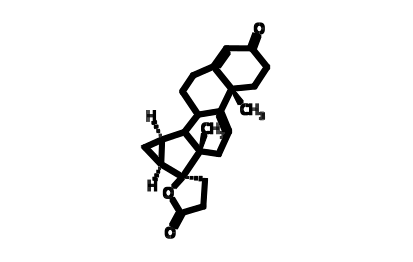 C[C@]12CCC(=O)C=C1CCC1C2=CC[C@@]2(C)C1[C@@H]1C[C@@H]1[C@@]21CCC(=O)O1